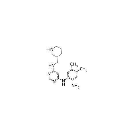 Cc1cc(N)c(Nc2cc(NCC3CCCNC3)ncn2)cc1C